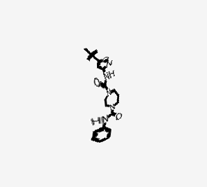 CC(C)(C)c1cc(NC(=O)N2CCCN(C(=O)Nc3ccccc3)CC2)no1